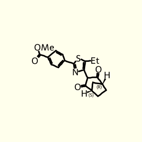 CCc1sc(-c2ccc(C(=O)OC)cc2)nc1C1C(=O)[C@@H]2CC[C@@H](C2)C1=O